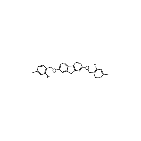 Cc1ccc(COc2ccc3c(c2)Cc2cc(OCc4ccc(C)cc4F)ccc2-3)c(F)c1